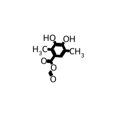 Cc1cc(C(=O)OC=O)c(C)c(O)c1O